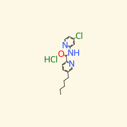 CCCCCc1ccc(C(=O)Nc2cc(Cl)ccn2)nc1.Cl